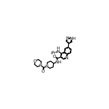 CC(C)Nc1c(C(=O)NC2CCN(C(=O)N3CCOCC3)CC2)cnc2ccc(-c3cn[nH]c3)cc12